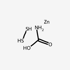 NC(=O)O.SS.[Zn]